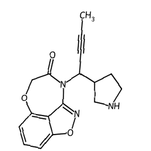 CC#CC(C1CCNC1)N1C(=O)COc2cccc3onc1c23